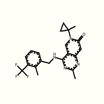 Cc1nc(NCc2cccc(C(F)(F)F)c2C)c2cn(C3(C)CC3)c(=O)cc2n1